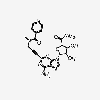 CNC(=O)[C@H]1O[C@@H](n2cnc3c(N)nc(C#CCN(C)C(=O)c4ccncc4)nc32)[C@H](O)[C@@H]1O